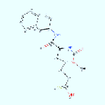 CC(C)(C)OC(=O)NC(CCCCC(O)=S)C(=O)Nc1ccc2ccccc2c1